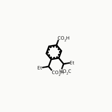 CCC(C(=O)O)c1ccc(C(=O)O)cc1C(CC)C(=O)O